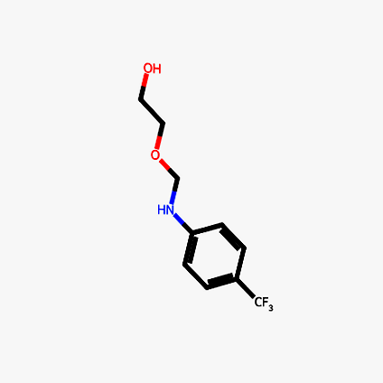 OCCOCNc1ccc(C(F)(F)F)cc1